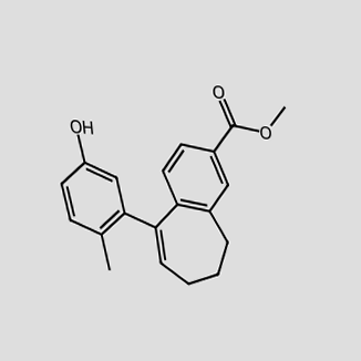 COC(=O)c1ccc2c(c1)CCCC=C2c1cc(O)ccc1C